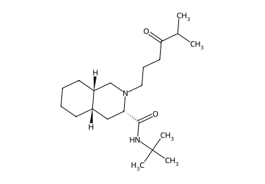 CC(C)C(=O)CCCN1C[C@H]2CCCC[C@H]2C[C@H]1C(=O)NC(C)(C)C